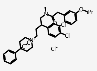 CC(C)Oc1cccc(CC(=O)N(C)CC(CC[N+]23CCC(c4ccccc4)(CC2)CC3)c2ccc(Cl)c(Cl)c2)c1.[Cl-]